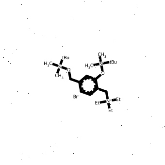 CC[N+](CC)(CC)Cc1ccc(CO[Si](C)(C)C(C)(C)C)cc1O[Si](C)(C)C(C)(C)C.[Br-]